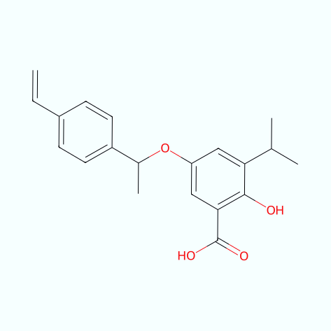 C=Cc1ccc(C(C)Oc2cc(C(=O)O)c(O)c(C(C)C)c2)cc1